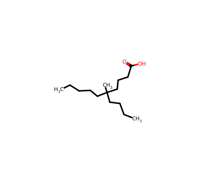 CCCCCC(C)(CCCC)CCCC(=O)O